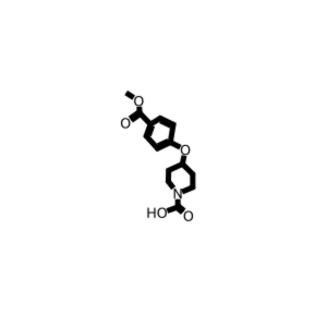 COC(=O)c1ccc(OC2CCN(C(=O)O)CC2)cc1